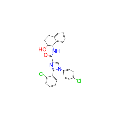 O=C(NC1c2ccccc2CCC1O)c1cn(-c2ccc(Cl)cc2)c(-c2ccccc2Cl)n1